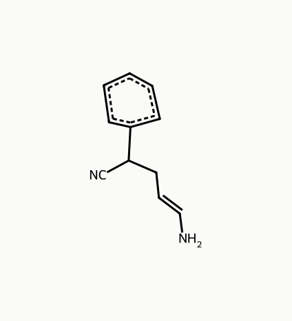 N#CC(CC=CN)c1ccccc1